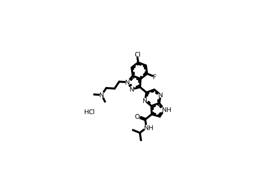 CC(C)NC(=O)c1c[nH]c2ncc(-c3nn(CCCN(C)C)c4cc(Cl)cc(F)c34)nc12.Cl